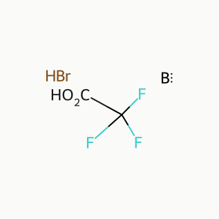 Br.O=C(O)C(F)(F)F.[B]